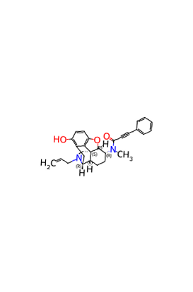 C=CCN1CC[C@@]23c4c5ccc(O)c4C[C@@H]1[C@@H]2CC[C@@H](N(C)C(=O)C#Cc1ccccc1)[C@@H]3O5